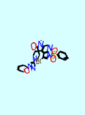 CN1C(=O)C2(CCN(c3cnn(C4CCCCO4)c3)CC2)c2c1cnc1c2c(Br)cn1S(=O)(=O)c1ccccc1